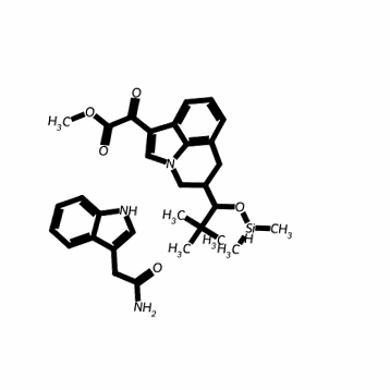 COC(=O)C(=O)c1cn2c3c(cccc13)CC(C(O[SiH](C)C)C(C)(C)C)C2.NC(=O)Cc1c[nH]c2ccccc12